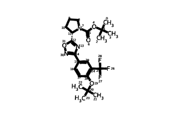 CC(C)(C)OC(=O)N1CCC[C@H]1c1nc(-c2ccc(OC(C)(C)C)c(C(F)(F)F)c2)no1